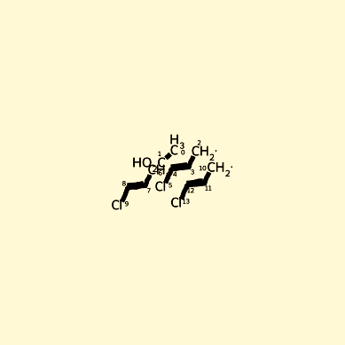 CC(=O)O.[CH2]C=CCl.[CH2]C=CCl.[CH2]C=CCl